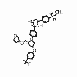 CCS(=O)(=O)c1ccc([C@H](CO)NC(=O)c2ccc(N3C[C@H](Oc4ccc(C(F)(F)F)cc4)C[C@H]3CO[C@H]3CCOC3)cc2)cc1